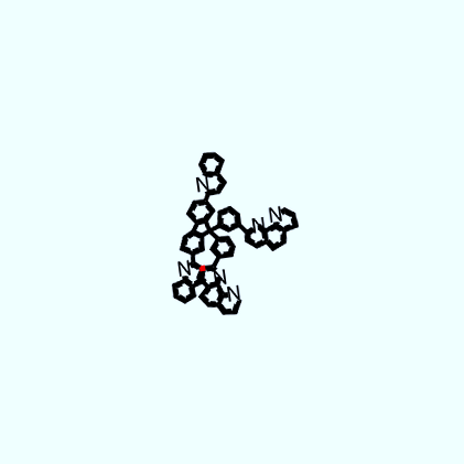 c1cc(-c2ccc3ccc4cccnc4c3n2)cc(C2(c3cccc(-c4ccc5ccc6cccnc6c5n4)c3)c3cc(-c4ccc5ccccc5n4)ccc3-c3ccc(-c4ccc5ccccc5n4)cc32)c1